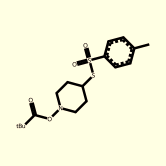 Cc1ccc(S(=O)(=O)SC2CCN(OC(=O)C(C)(C)C)CC2)cc1